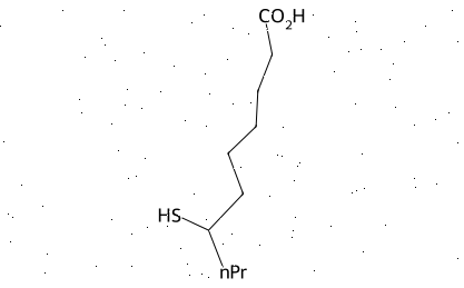 CCCC(S)CCCCCC(=O)O